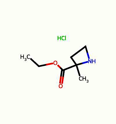 CCOC(=O)C1(C)CCN1.Cl